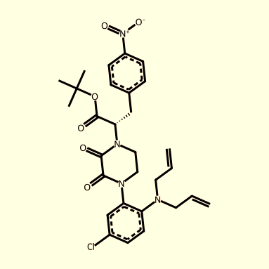 C=CCN(CC=C)c1ccc(Cl)cc1N1CCN([C@@H](Cc2ccc([N+](=O)[O-])cc2)C(=O)OC(C)(C)C)C(=O)C1=O